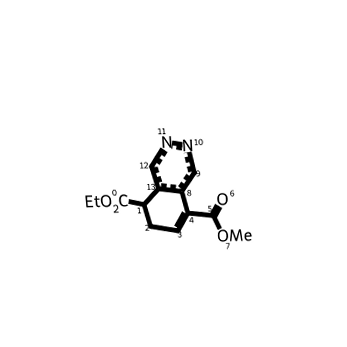 CCOC(=O)C1CC=C(C(=O)OC)c2cnncc21